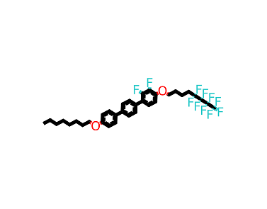 CCCCCCCCOc1ccc(-c2ccc(-c3ccc(OCCCCC(F)(F)C(F)(F)C(F)(F)C(F)(F)F)c(F)c3F)cc2)cc1